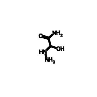 NNC(O)C(N)=O